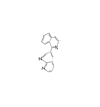 [c]1cc2ccccc2c(-c2cnc3ncccc3c2)n1